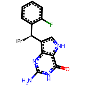 CC(C)[C@@H](c1ccccc1F)c1c[nH]c2c(=O)[nH]c(N)nc12